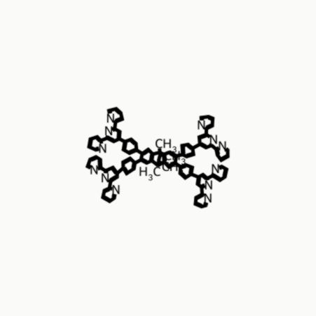 CC1C(C)C2(C)c3cc(-c4ccc(-c5cc(-c6ccccn6)nc(-c6ccccn6)c5)cc4)c(-c4ccc(-c5cc(-c6ccccn6)nc(-c6ccccn6)c5)cc4)cc3C1(C)c1cc(-c3ccc(-c4cc(-c5ccccn5)nc(-c5ccccn5)c4)cc3)c(-c3ccc(-c4cc(-c5ccccn5)nc(-c5ccccn5)c4)cc3)cc12